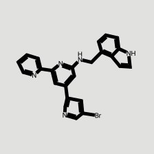 Brc1cncc(-c2cc(NCc3cccc4[nH]ccc34)nc(-c3ccccn3)c2)c1